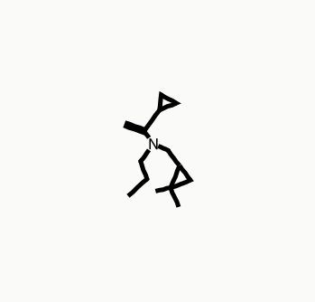 C=C(C1CC1)N(CCC)CC1CC1(C)C